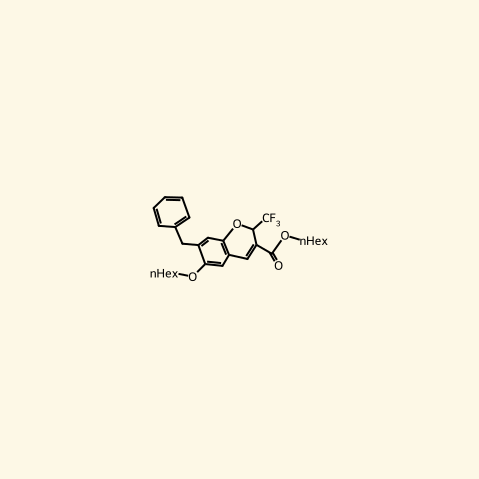 CCCCCCOC(=O)C1=Cc2cc(OCCCCCC)c(Cc3ccccc3)cc2OC1C(F)(F)F